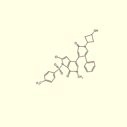 Cc1ccc(S(=O)(=O)n2c(Cl)cc3c(-c4cc(=O)n(C5CC(O)C5)cc4-c4ccccc4)cn(C)c(=O)c32)cc1